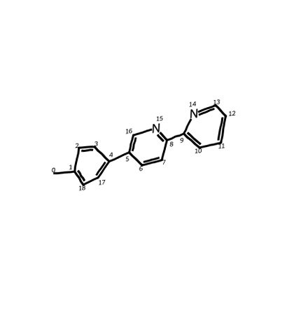 Cc1ccc(-c2ccc(-c3ccccn3)nc2)cc1